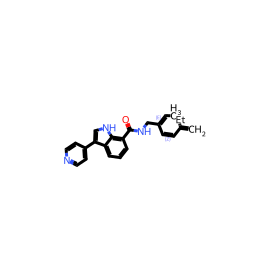 C=C(/C=C\C(=C/C)CNC(=O)c1cccc2c(-c3ccncc3)c[nH]c12)CC